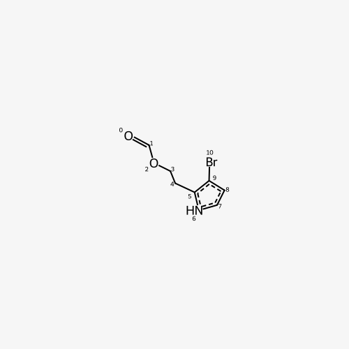 O=COCCc1[nH]ccc1Br